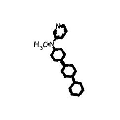 CN(c1cccnc1)C1CCC(=C2CCC(C3CCCCC3)CC2)CC1